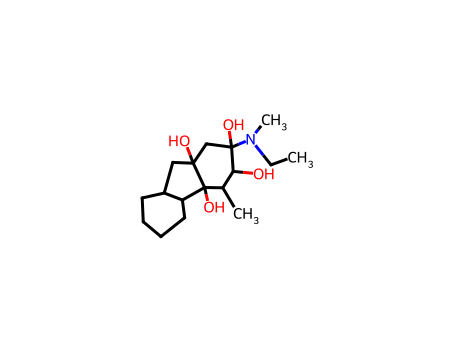 CCN(C)C1(O)CC2(O)CC3CCCCC3C2(O)C(C)C1O